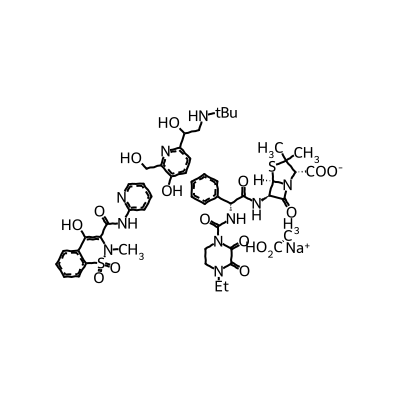 CC(=O)O.CC(C)(C)NCC(O)c1ccc(O)c(CO)n1.CCN1CCN(C(=O)N[C@@H](C(=O)N[C@@H]2C(=O)N3[C@@H]2SC(C)(C)[C@@H]3C(=O)[O-])c2ccccc2)C(=O)C1=O.CN1C(C(=O)Nc2ccccn2)=C(O)c2ccccc2S1(=O)=O.[Na+]